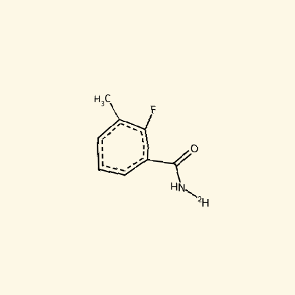 [2H]NC(=O)c1cccc(C)c1F